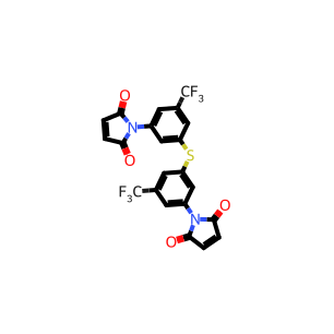 O=C1C=CC(=O)N1c1cc(Sc2cc(N3C(=O)C=CC3=O)cc(C(F)(F)F)c2)cc(C(F)(F)F)c1